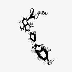 CC(C)(C)OC(=O)N1CC[C@@H]2CN([C@H]3C[C@@H](c4nc5ccc(Br)cc5s4)C3)C[C@@H]21